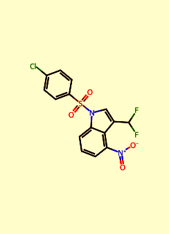 O=[N+]([O-])c1cccc2c1c(C(F)F)cn2S(=O)(=O)c1ccc(Cl)cc1